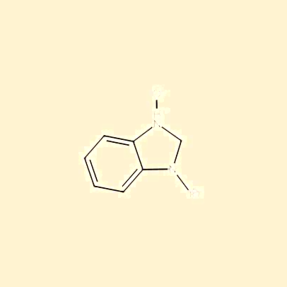 CC(C)N1C[NH+]([O-])c2ccccc21